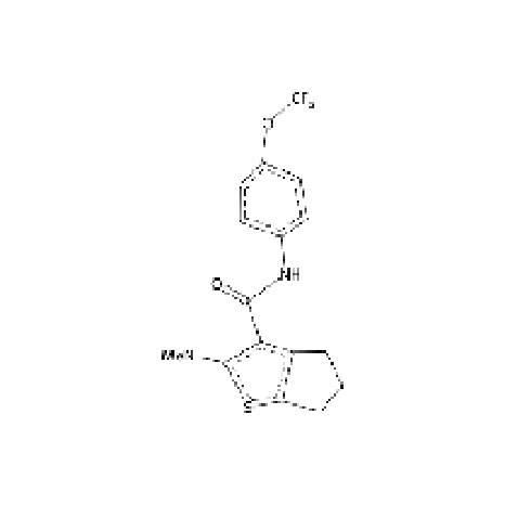 CNc1sc2c(c1C(=O)Nc1ccc(OC(F)(F)F)cc1)CCC2